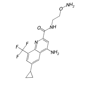 NOCCNC(=O)c1cc(N)c2cc(C3CC3)cc(C(F)(F)F)c2n1